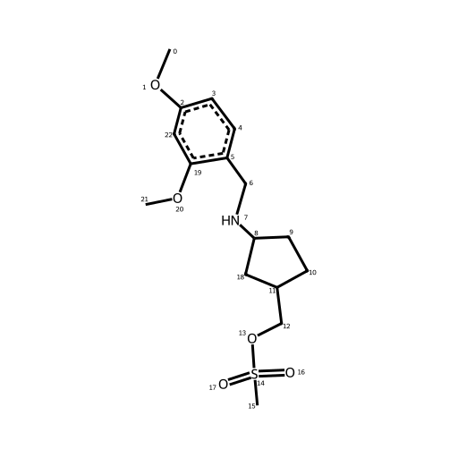 COc1ccc(CNC2CCC(COS(C)(=O)=O)C2)c(OC)c1